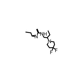 C=C(/N=C\CC)NCC(CC)N1CCC(F)(F)CC1